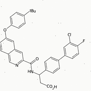 CC(C)(C)c1ccc(Oc2ccc3cnc(C(=O)NC(CC(=O)O)c4ccc(-c5ccc(F)c(Cl)c5)cc4)cc3c2)cc1